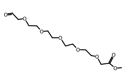 COC(=O)COCCOCCOCCOCCOC[C]=O